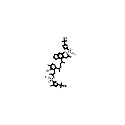 CC(C)c1cc2c(c(C(C)CCC(C)c3ncc(F)c(C(C)C)c3CC(=O)N=S(N)(=O)c3sc(C(C)(C)O)cc3F)c1CC(=O)N=S(N)(=O)c1cnc(C(C)(C)O)s1)CCC2